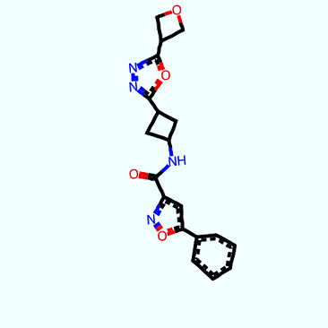 O=C(NC1CC(c2nnc(C3COC3)o2)C1)c1cc(-c2ccccc2)on1